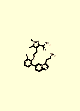 Cc1c(CCOc2c(F)cccc2-c2ccc3ncc(CCN)n3c2)c(C(N)=O)nn1C